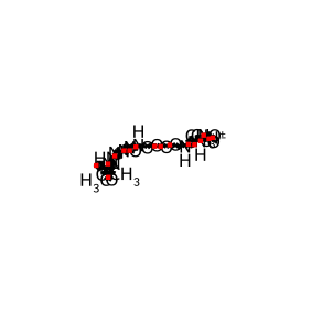 CC(=O)c1c(C)c2cnc(Nc3ccc(N4CCN(CC(=O)NCCOCCOCCOCCOCCNc5ccc(C(=O)Nc6ncc([N+](=O)[O-])s6)c(C)c5)CC4)cn3)nc2n(C2CCCC2)c1=O